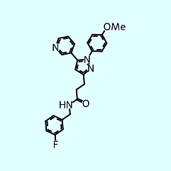 COc1ccc(-n2nc(CCC(=O)NCc3cccc(F)c3)cc2-c2cccnc2)cc1